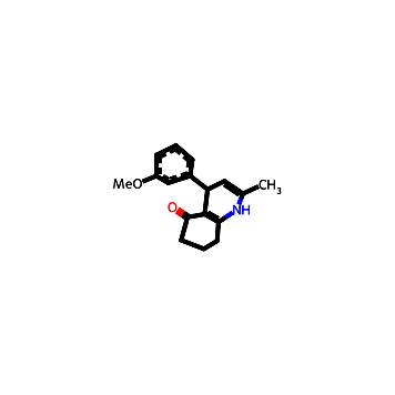 COc1cccc(C2C=C(C)NC3=C2C(=O)CCC3)c1